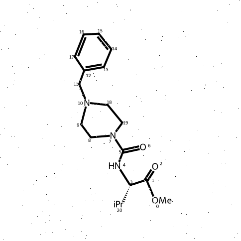 COC(=O)[C@@H](NC(=O)N1CCN(Cc2ccccc2)CC1)C(C)C